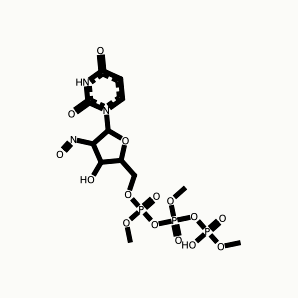 COP(=O)(O)OP(=O)(OC)OP(=O)(OC)OCC1OC(n2ccc(=O)[nH]c2=O)C(N=O)C1O